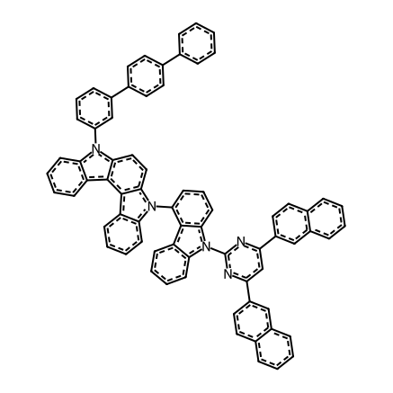 c1ccc(-c2ccc(-c3cccc(-n4c5ccccc5c5c6c7ccccc7n(-c7cccc8c7c7ccccc7n8-c7nc(-c8ccc9ccccc9c8)cc(-c8ccc9ccccc9c8)n7)c6ccc54)c3)cc2)cc1